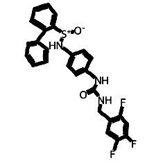 O=C(NCc1cc(F)c(F)cc1F)Nc1ccc(N[S+]([O-])c2ccccc2-c2ccccc2)cc1